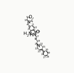 Nc1cc(CN2CCOCC2)ccc1C(=O)NCCCCN1CC=C(c2ccccc2)CC1